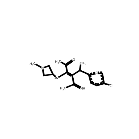 CC(=N)/C(=C(\NC1CN(C)C1)C(C)=O)C(C)c1ccc(Cl)cc1